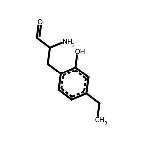 CCc1ccc(CC(N)C=O)c(O)c1